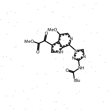 COC(=O)C(=O)c1c[nH]c2c(-n3cnc(NC(=O)C(C)(C)C)n3)ncc(OC)c12